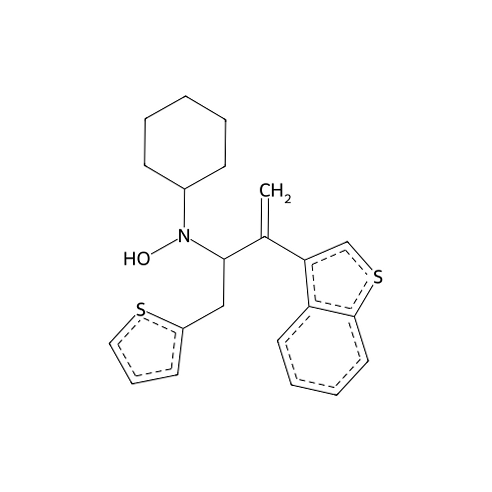 C=C(c1csc2ccccc12)C(Cc1cccs1)N(O)C1CCCCC1